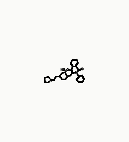 O=C(O)c1c(CN2CCN(CCN3CCCC3)CC2)n(-c2ccccc2)c(=O)c2ccccc12